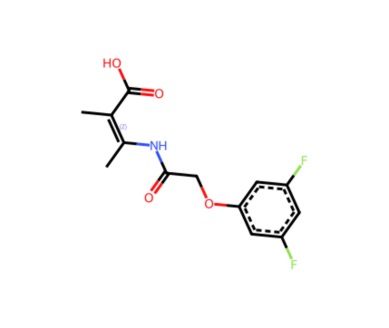 C/C(NC(=O)COc1cc(F)cc(F)c1)=C(\C)C(=O)O